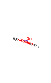 CCCCCCCOCCOCCOCCOCCOCC(COCCOCCOCCOCCOCCCCCCC)OC(=O)NCCCCCC(=O)O